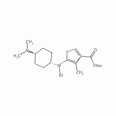 CCN(c1scc(C(=O)OC)c1C)[C@H]1CC[C@H](N(C)C)CC1